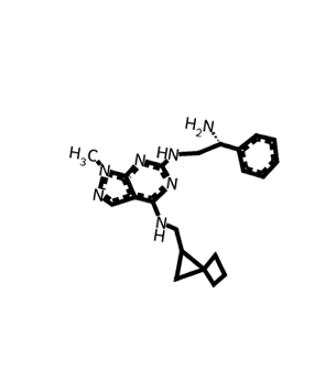 Cn1ncc2c(NCC3CC34CCC4)nc(NC[C@H](N)c3ccccc3)nc21